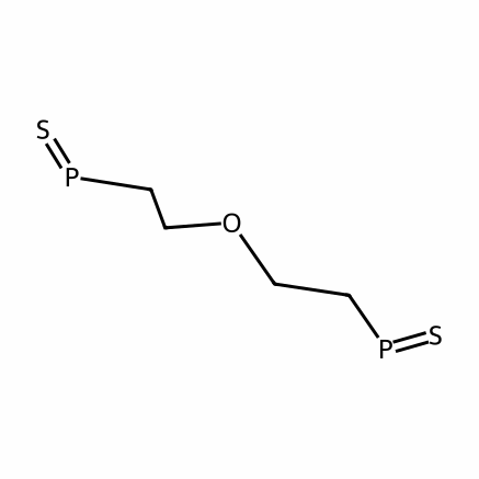 S=PCCOCCP=S